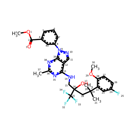 COC(=O)c1cccc(-n2ncc3c(NCC(O)(CC(C)(C)c4cc(F)ccc4OC)C(F)(F)F)nc(C)nc32)c1